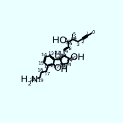 CC#CC[C@H](C)[C@H](O)C=C[C@@H]1[C@H]2c3cccc(CCCN)c3O[C@H]2C[C@H]1O